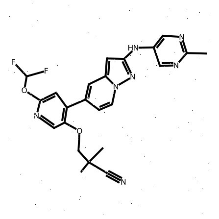 Cc1ncc(Nc2cc3cc(-c4cc(OC(F)F)ncc4OCC(C)(C)C#N)ccn3n2)cn1